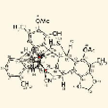 COc1c(C)cc2c(c1O)[C@H]1C3[C@@H]4SC[C@]5(NCCc6c5[nH]c5c(C)cccc65)C(=O)OC[C@@H](c5c6c(c(C)c(OC(C)=O)c54)OCO6)N3[C@@H](C#N)[C@H](C2)N1C